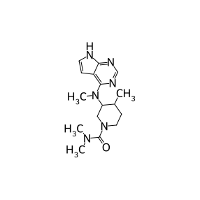 CC1CCN(C(=O)N(C)C)CC1N(C)c1ncnc2[nH]ccc12